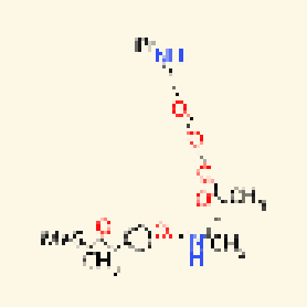 CSC(C)C(=O)Cc1ccc(OCCNC(C)CCC(C)C(=O)COCCOCCOCCCCNC(C)C)cc1